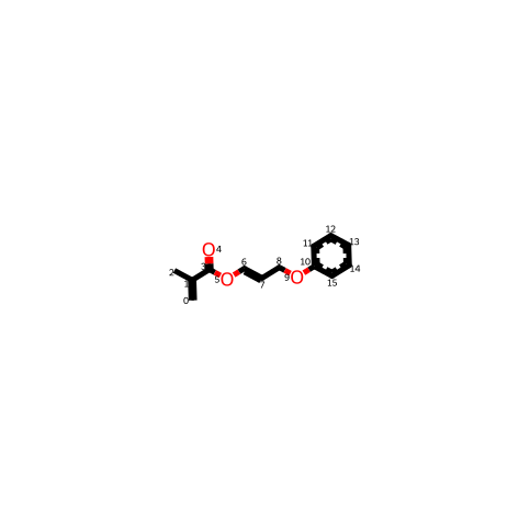 C=C(C)C(=O)OC=CCOc1ccccc1